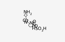 NC1CC(c2cc([C@@H]3CC[C@@H]4CN3C(=O)N4OS(=O)(=O)O)no2)C1